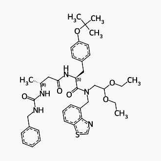 CCOC(CN(Cc1cccc2scnc12)C(=O)[C@H](Cc1ccc(OC(C)(C)C)cc1)NC(=O)C[C@@H](C)NC(=O)NCc1ccccc1)OCC